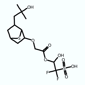 CC(C)(O)CC1CC2CC(OCC(=O)OC(O)C(F)(F)S(=O)(=O)O)C1S2